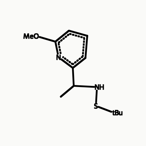 COc1cccc(C(C)NSC(C)(C)C)n1